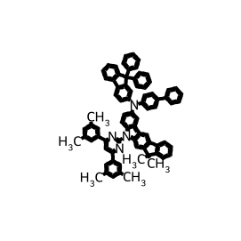 Cc1cc(C)cc(-c2cc(-c3cc(C)cc(C)c3)nc(-n3c4ccc(N(c5ccc(-c6ccccc6)cc5)c5ccc6c(c5)C(c5ccccc5)(c5ccccc5)c5ccccc5-6)cc4c4cc5c(cc43)C(C)(C)c3ccccc3-5)n2)c1